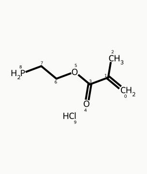 C=C(C)C(=O)OCCP.Cl